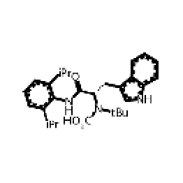 CC(C)c1cccc(C(C)C)c1NC(=O)[C@H](Cc1c[nH]c2ccccc12)N(C(=O)O)C(C)(C)C